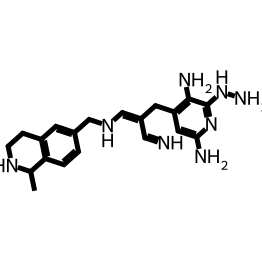 CC1NCCc2cc(CN/C=C(\C=N)Cc3cc(N)nc(NN)c3N)ccc21